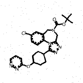 CC(C)(C)OC(=O)N1Cc2cc(Cl)ccc2-n2c(nnc2C2CCC(Oc3cccnn3)CC2)C1